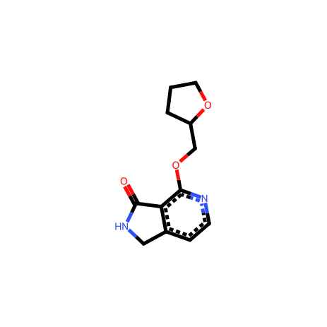 O=C1NCc2ccnc(OCC3CCCO3)c21